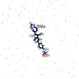 COc1cc(-c2[nH]c3cnc(C4CCC(NCC(C)(C)O)CC4)c(F)c3c2C(C)C)cn2ncnc12